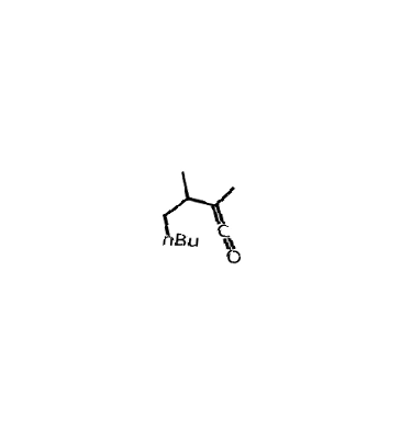 CCCCCC(C)C(C)=C=O